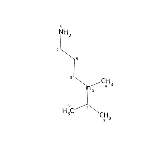 C[CH](C)[In]([CH3])[CH2]CCN